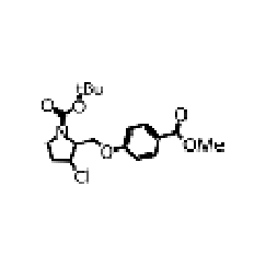 COC(=O)c1ccc(OCC2C(Cl)CCN2C(=O)OC(C)(C)C)cc1